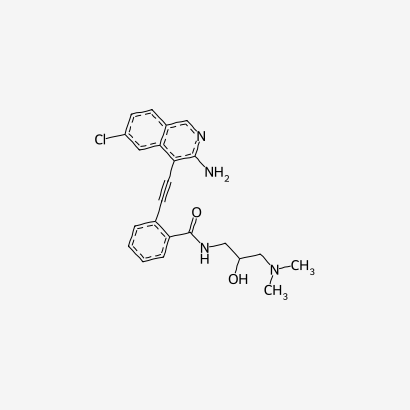 CN(C)CC(O)CNC(=O)c1ccccc1C#Cc1c(N)ncc2ccc(Cl)cc12